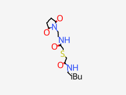 CCC(C)CNC(=O)CSCC(=O)NCCN1C(=O)CCC1=O